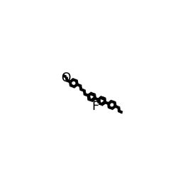 CCCC1CCC(c2ccc(-c3ccc(CCCCC4CCC(COC)CC4)cc3)c(F)c2)CC1